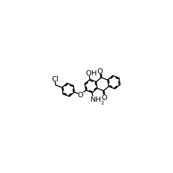 Nc1c(Oc2ccc(CCl)cc2)cc(O)c2c1C(=O)c1ccccc1C2=O